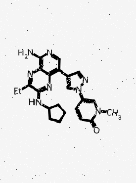 CCc1nc2c(N)ncc(-c3cnn(-c4ccc(=O)n(C)c4)c3)c2nc1NC1CCCC1